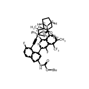 Cc1nc2c3c(nc(-c4cc(NC(=O)OC(C)(C)C)cc5ccc(F)c(C#C[Si](C(C)C)(C(C)C)C(C)C)c45)c(F)c3c1C(F)(F)F)O[C@@H](C)[C@@H]1[C@@H]3CC[C@H](CN21)N3C(=O)OC(C)(C)C